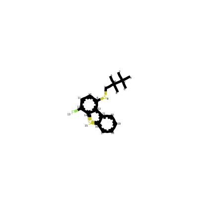 CC(C)(C)C(C)(C)CSc1ccc(F)c2sc3ccccc3c12